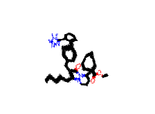 CCCCCc1c(Cc2ccc(-c3ccccc3-c3nnn[nH]3)cc2)c(=O)n2n1CCCC2C1(C(=O)OCC)CCCCCC1